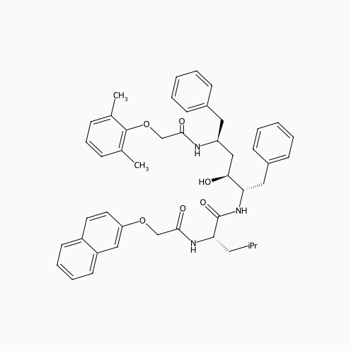 Cc1cccc(C)c1OCC(=O)N[C@@H](Cc1ccccc1)C[C@H](O)[C@H](Cc1ccccc1)NC(=O)[C@H](CC(C)C)NC(=O)COc1ccc2ccccc2c1